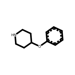 [c]1ccc(OC2CCNCC2)cc1